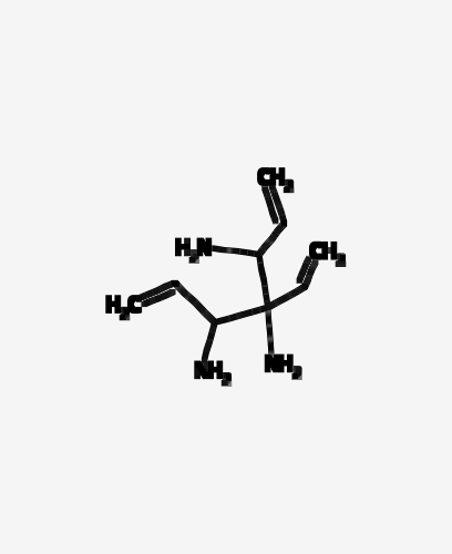 C=CC(N)C(N)(C=C)C(N)C=C